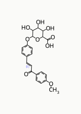 COc1ccc(C(=O)/C=C/c2ccc(OC3OC(C(=O)O)C(O)C(O)C3O)cc2)cc1